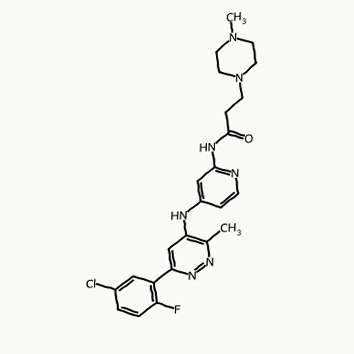 Cc1nnc(-c2cc(Cl)ccc2F)cc1Nc1ccnc(NC(=O)CCN2CCN(C)CC2)c1